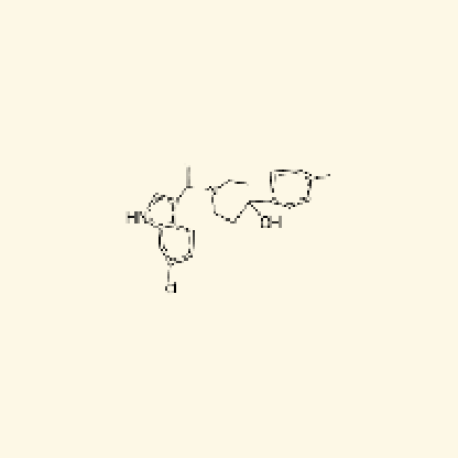 C=C(c1c[nH]c2cc(Cl)ccc12)N1CCC(O)(c2ccc(C)cc2)CC1